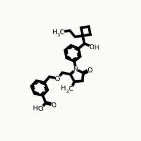 CCCC1(C(O)c2cccc(N3C(=O)CC(C)C3COCc3cccc(C(=O)O)c3)c2)CCC1